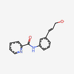 [O]C/C=C/c1cccc(NC(=O)c2ccccn2)c1